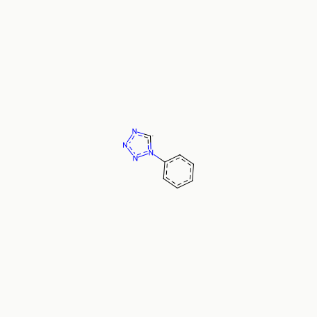 [c]1nnnn1-c1ccccc1